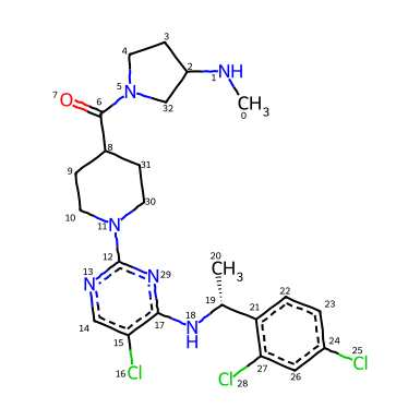 CNC1CCN(C(=O)C2CCN(c3ncc(Cl)c(N[C@H](C)c4ccc(Cl)cc4Cl)n3)CC2)C1